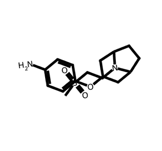 CS(=O)(=O)CCN1C2CCC1CC(Oc1ccc(N)cc1)C2